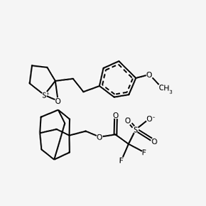 COc1ccc(CCC23CCC[S+]2O3)cc1.O=C(OCC12CC3CC(CC(C3)C1)C2)C(F)(F)S(=O)(=O)[O-]